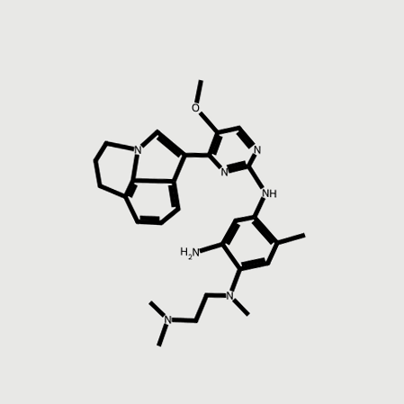 COc1cnc(Nc2cc(N)c(N(C)CCN(C)C)cc2C)nc1-c1cn2c3c(cccc13)CCC2